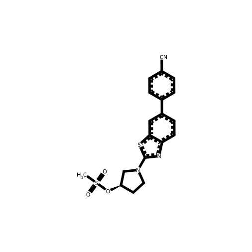 CS(=O)(=O)O[C@@H]1CCN(c2nc3ccc(-c4ccc(C#N)cc4)cc3s2)C1